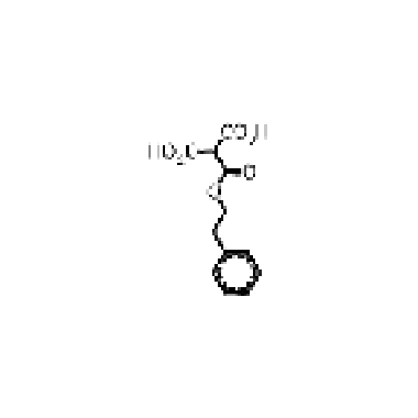 O=C(O)C(C(=O)O)C(=O)OCCc1ccccc1